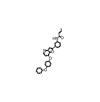 CC=CC(=O)Nc1cccc(-c2cc3nccc(Oc4ccc(Oc5ccccc5)cc4)c3o2)c1